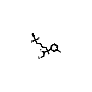 C#CC(F)(F)CCCCC(C)(C(=O)CBr)c1cccc(I)c1